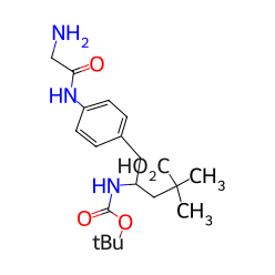 CC(C)(C)OC(=O)NC(Cc1ccc(NC(=O)CN)cc1)CC(C)(C)C(=O)O